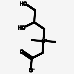 C[N+](C)(CC(=O)[O-])CC(O)CO